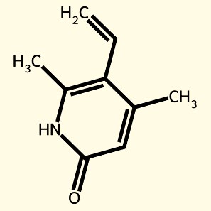 C=Cc1c(C)cc(=O)[nH]c1C